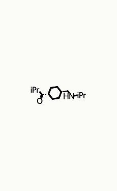 CC(C)NC[C@H]1CC[C@H](C(=O)C(C)C)CC1